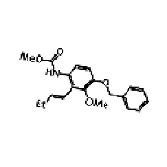 CCC=Cc1c(NC(=O)OC)ccc(OCc2ccccc2)c1OC